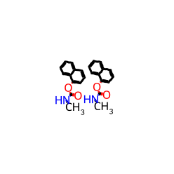 CNC(=O)Oc1cccc2ccccc12.CNC(=O)Oc1cccc2ccccc12